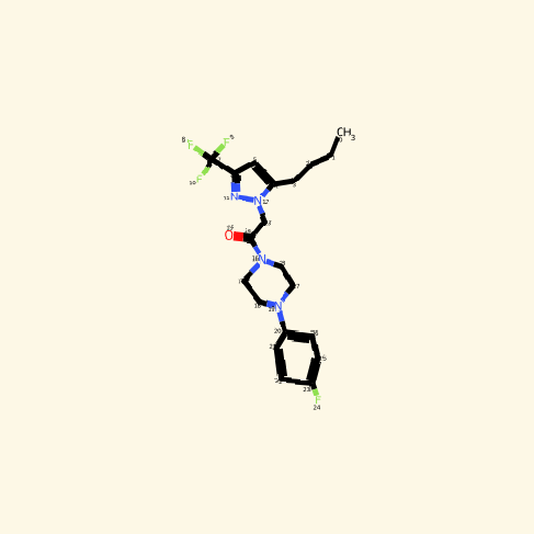 CCCCc1cc(C(F)(F)F)nn1CC(=O)N1CCN(c2ccc(F)cc2)CC1